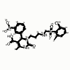 CC1=C(C(=O)O)C(c2cccc([N+](=O)[O-])c2)N(CCCNCS(=O)(=O)c2c(C)cccc2Cl)C(=O)N1